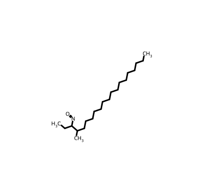 CCCCCCCCCCCCCCCCC(C)C(CC)N=O